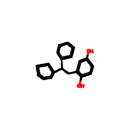 Oc1ccc(O)c(CC(c2ccccc2)c2ccccc2)c1